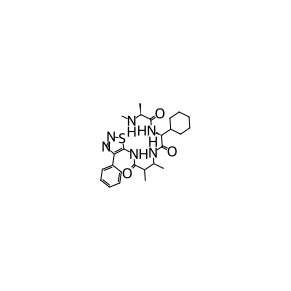 CN[C@@H](C)C(=O)N[C@H](C(=O)NC(C)C(C)C(=O)Nc1snnc1-c1ccccc1)C1CCCCC1